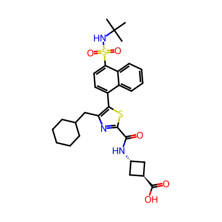 CC(C)(C)NS(=O)(=O)c1ccc(-c2sc(C(=O)N[C@H]3C[C@H](C(=O)O)C3)nc2CC2CCCCC2)c2ccccc12